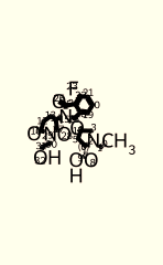 CCN1CCC[C@H]1C(=O)O.O=C1CCC(N2C(=O)c3cccc(F)c3C2=O)C(=O)N1CCO